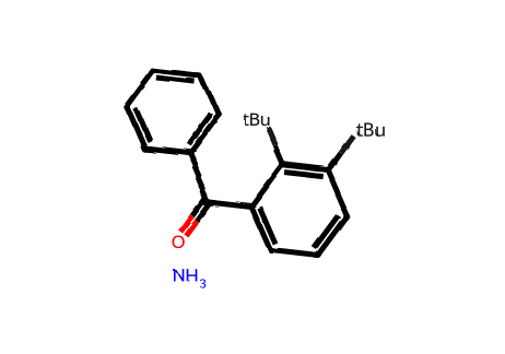 CC(C)(C)c1cccc(C(=O)c2ccccc2)c1C(C)(C)C.N